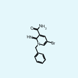 N=c1c(C(N)=O)cc(Br)cn1Cc1ccccc1